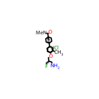 CNC(=O)C12CCC(c3ccc(OC/C(=C/F)CN)c(C)c3)(CC1)CC2.Cl